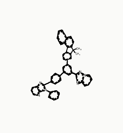 CC1(C)c2cc(-c3cc(-c4ccc(-c5nc6cccnc6n5-c5ccccc5)cc4)cc(-c4nc5ccccn5n4)c3)ccc2-c2c1ccc1ccccc21